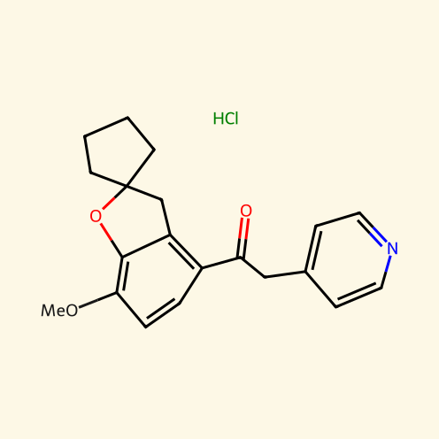 COc1ccc(C(=O)Cc2ccncc2)c2c1OC1(CCCC1)C2.Cl